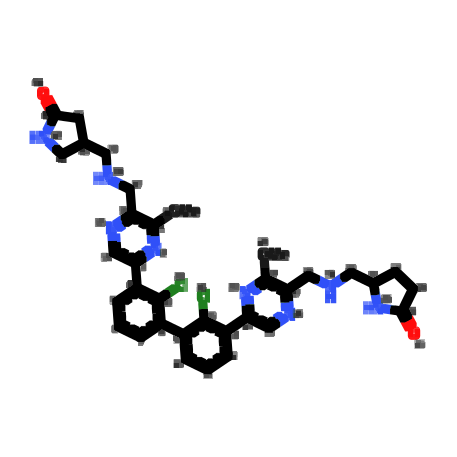 COc1nc(-c2cccc(-c3cccc(-c4cnc(CNCC5CCC(=O)N5)c(OC)n4)c3Cl)c2Cl)cnc1CNCC1CNC(=O)C1